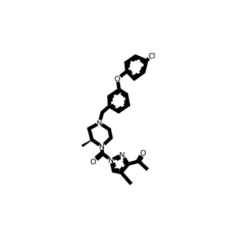 CC(=O)c1nn(C(=O)N2CCN(Cc3cccc(Oc4ccc(Cl)cc4)c3)C[C@@H]2C)cc1C